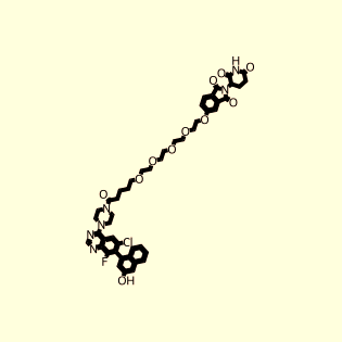 O=C1CCC(N2C(=O)c3ccc(OCCOCCOCCOCCOCCCCC(=O)N4CCN(c5ncnc6c(F)c(-c7cc(O)cc8ccccc78)c(Cl)cc56)CC4)cc3C2=O)C(=O)N1